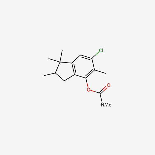 CNC(=O)Oc1c(C)c(Cl)cc2c1CC(C)C2(C)C